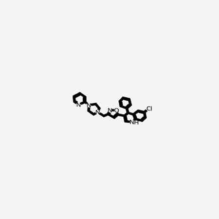 Clc1ccc2c(c1)C(c1ccccc1)C(c1cc(CN3CCN(c4ccccn4)CC3)no1)=CN2